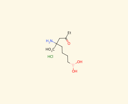 CCC(=O)CC(N)(CCCCB(O)O)C(=O)O.Cl